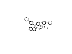 CC1(C)c2cc(C3CCCCC3)ccc2-c2ccc(N(c3ccc(C4CCCCC4)cc3)c3cccc4ccccc34)cc21